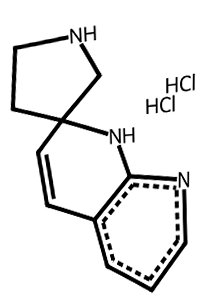 C1=CC2(CCNC2)Nc2ncccc21.Cl.Cl